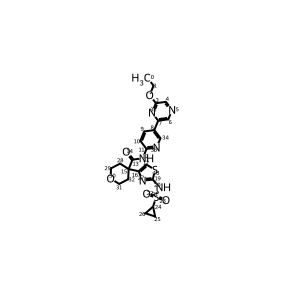 CCOc1cncc(-c2ccc(NC(=O)C3(c4csc(NS(=O)(=O)C5CC5)n4)CCOCC3)nc2)n1